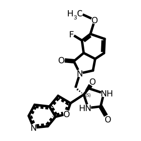 COC1=C(F)C2C(=O)N(C[C@@]3(c4cc5ccncc5o4)NC(=O)NC3=O)CC2C=C1